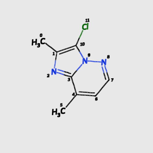 Cc1nc2c(C)ccnn2c1Cl